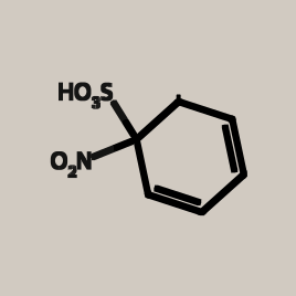 O=[N+]([O-])C1(S(=O)(=O)O)[CH]C=CC=C1